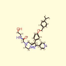 CC(C)c1ccc(COc2ccc(-c3c(-c4ccncc4)nn4c3CN(CC(=O)NCCO)CC4)cc2)cc1